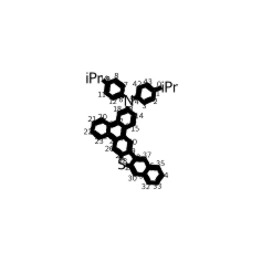 CC(C)c1ccc(N(c2ccc(C(C)C)cc2)c2ccc3c(c2)c2ccccc2c2cc4sc5cc6ccccc6cc5c4cc32)cc1